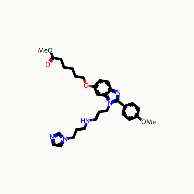 COC(=O)CCCCCOc1ccc2nc(-c3ccc(OC)cc3)n(CCCNCCCn3ccnc3)c2c1